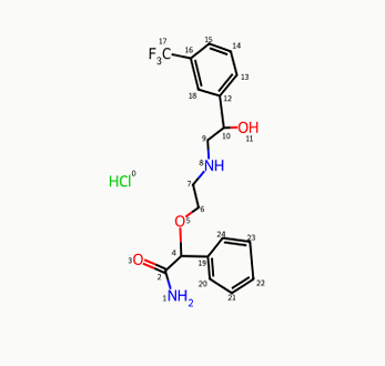 Cl.NC(=O)C(OCCNCC(O)c1cccc(C(F)(F)F)c1)c1ccccc1